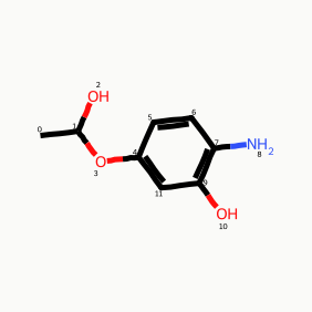 CC(O)Oc1ccc(N)c(O)c1